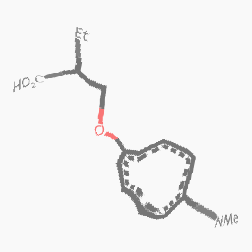 CCC(COc1ccc(NC)cc1)C(=O)O